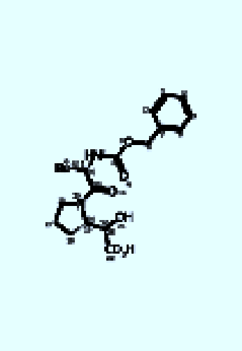 CC[C@H](C)[C@H](NC(=O)OCc1ccccc1)C(=O)N1CCC[C@H]1[C@@H](O)C(=O)O